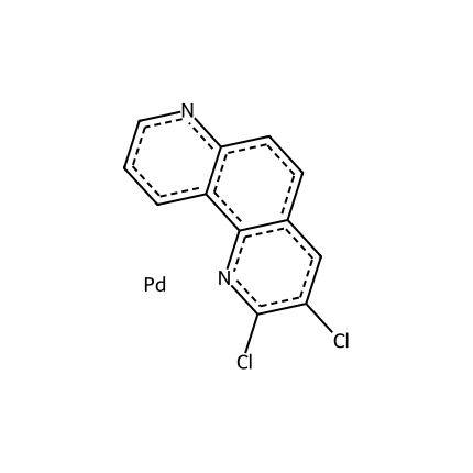 Clc1cc2ccc3ncccc3c2nc1Cl.[Pd]